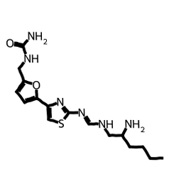 CCCCC(N)CNC=Nc1nc(-c2ccc(CNC(N)=O)o2)cs1